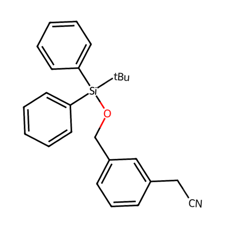 CC(C)(C)[Si](OCc1cccc(CC#N)c1)(c1ccccc1)c1ccccc1